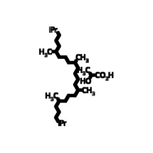 CC(C)CCCC(C)CCCC(C)CCCCC(C)CCCC(C)CCCC(C)C.CC(O)C(=O)O